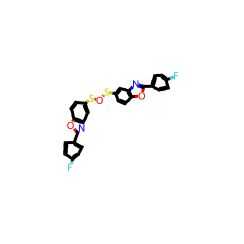 Fc1ccc(-c2nc3cc(SOSc4ccc5oc(-c6ccc(F)cc6)nc5c4)ccc3o2)cc1